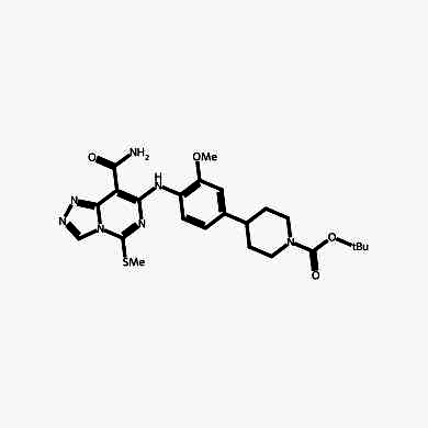 COc1cc(C2CCN(C(=O)OC(C)(C)C)CC2)ccc1Nc1nc(SC)n2cnnc2c1C(N)=O